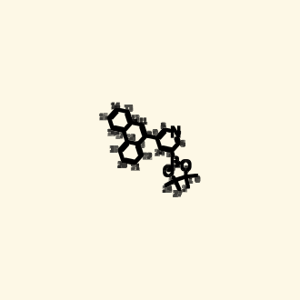 CC1(C)OB(c2cncc(-c3cc4ccccc4c4ccccc34)c2)OC1(C)C